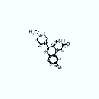 CN1CCN(C2=Nc3ccc(Br)cc3N3CC(=O)NN=C23)CC1